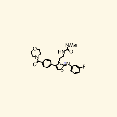 CNC(=O)NCCn1c(-c2ccc(C(=O)N3CCOCC3)cc2)cs/c1=N\c1cccc(F)c1